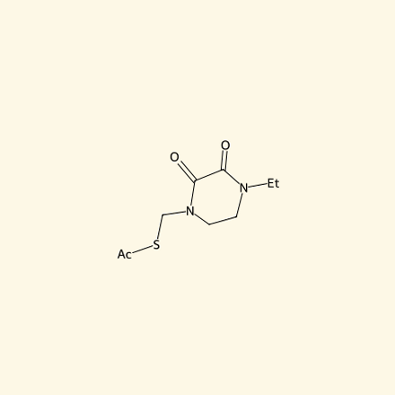 CCN1CCN(CSC(C)=O)C(=O)C1=O